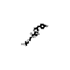 CC(C)(O)COCCNC(=O)c1cnn2cc(Cc3ccc(Br)cc3)cnc12